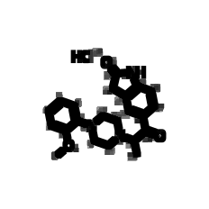 COc1ccccc1N1CCN(C(C)C(=O)c2ccc3c(c2)CC(=O)N3)CC1.Cl